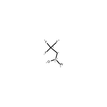 CC(C)[S+]([O-])CC(F)(F)F